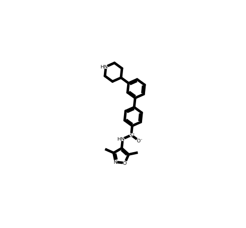 Cc1noc(C)c1N[S+]([O-])c1ccc(-c2cccc(C3CCNCC3)c2)cc1